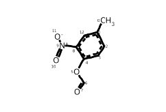 Cc1ccc(O[C]=O)c([N+](=O)[O-])c1